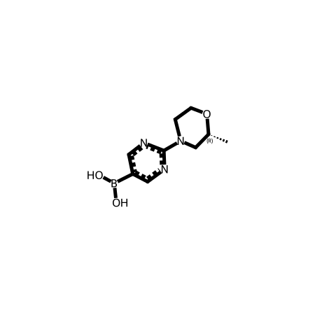 C[C@@H]1CN(c2ncc(B(O)O)cn2)CCO1